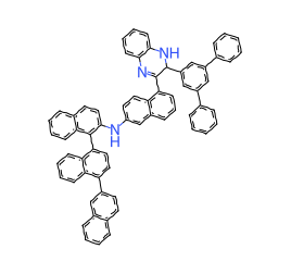 c1ccc(-c2cc(-c3ccccc3)cc(C3Nc4ccccc4N=C3c3cccc4cc(Nc5ccc6ccccc6c5-c5ccc(-c6ccc7ccccc7c6)c6ccccc56)ccc34)c2)cc1